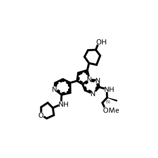 COC[C@H](C)Nc1ncc2c(-c3ccnc(NC4CCOCC4)c3)cc(C3CCC(O)CC3)n2n1